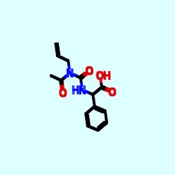 C=CCN(C(C)=O)C(=O)NC(C(=O)O)c1ccccc1